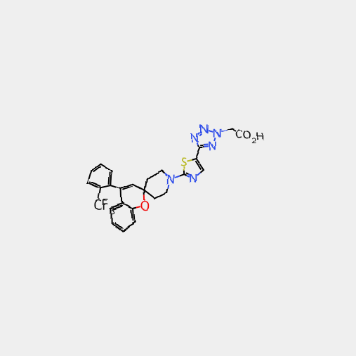 O=C(O)Cn1nnc(-c2cnc(N3CCC4(C=C(c5ccccc5C(F)(F)F)c5ccccc5O4)CC3)s2)n1